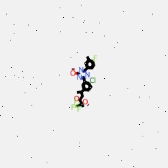 COc1nc(-c2ccc(F)c(C)c2)nc(-c2cc(C(C)CC(=O)C(C)(OC)C(F)(F)F)ccc2Cl)n1